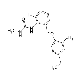 CCc1ccc(OCc2cccc(I)c2NC(=O)NC)c(C)c1